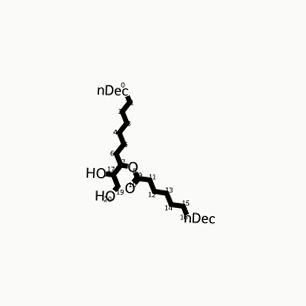 CCCCCCCCCCCCCCCC[C](OC(=O)CCCCCCCCCCCCCCC)C(O)CO